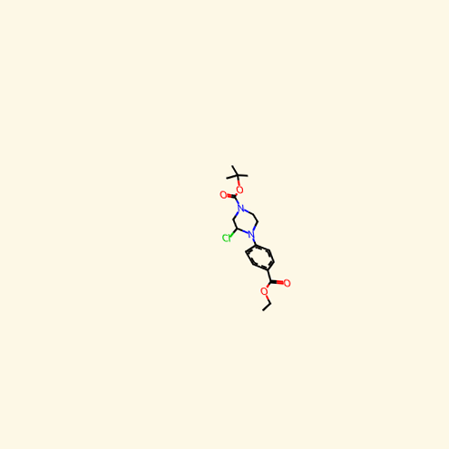 CCOC(=O)c1ccc(N2CCN(C(=O)OC(C)(C)C)CC2Cl)cc1